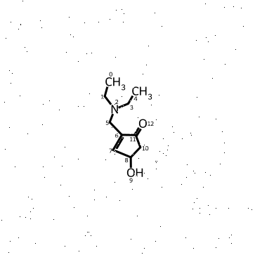 CCN(CC)CC1=CC(O)CC1=O